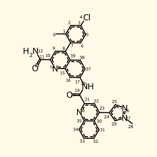 Cc1cc(Cl)ccc1-c1cc(C(N)=O)nc2cc(NC(=O)c3cc(-c4cnn(C)c4)c4ccccc4n3)ccc12